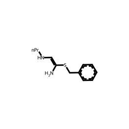 CCCN/C=C(\N)SCc1ccccc1